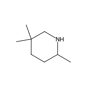 CC1CCC(C)(C)CN1